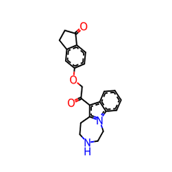 O=C1CCc2cc(OCC(=O)c3c4n(c5ccccc35)CCNCC4)ccc21